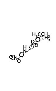 CC(C)(C)c1ccc(S(=O)(=O)N2CC3C(CNc4ccc(C(=O)N5CCOCC5)cc4)C3C2)cc1